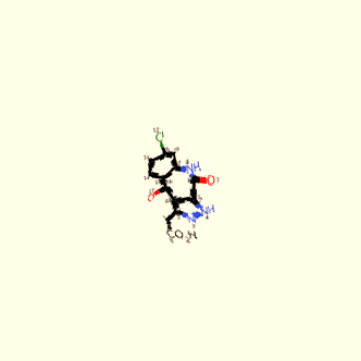 O=C(O)Cc1n[nH]c2c(=O)[nH]c3cc(Cl)ccc3c(=O)c12